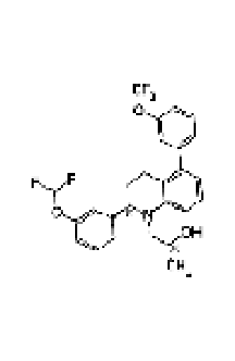 C[C@@H](O)CN1c2cccc(-c3cccc(OC(F)(F)F)c3)c2CC[C@@H]1C1C=C(OC(F)F)C=CC1